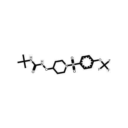 CC(C)(C)NC(=O)NOC1CCN(S(=O)(=O)c2ccc(OC(F)(F)F)cc2)CC1